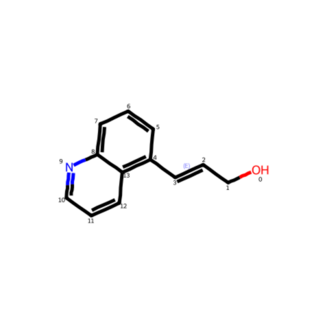 OC/C=C/c1cccc2ncccc12